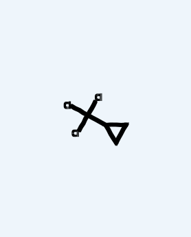 ClC(Cl)(Cl)[C]1CC1